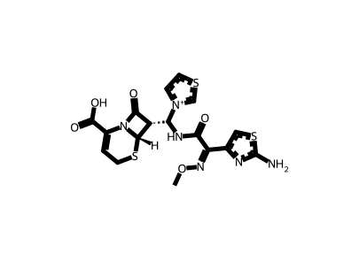 CON=C(C(=O)NC([C@H]1C(=O)N2C(C(=O)O)=CCS[C@@H]12)[n+]1ccsc1)c1csc(N)n1